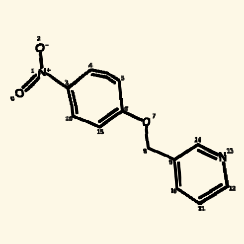 O=[N+]([O-])c1ccc(OCc2cccnc2)cc1